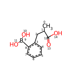 CC(Cc1ccccc1B(O)O)C(=O)O